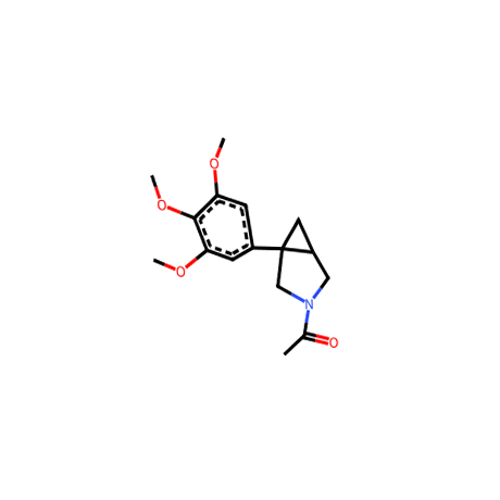 COc1cc(C23CC2CN(C(C)=O)C3)cc(OC)c1OC